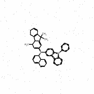 CC1C=C(N(c2ccc3c(c2)c2ccccc2n3-c2ccccc2)C2C=CC=C3C=CC=CC32)C=C2C1C1=C(C=CCC1)C2(C)C